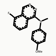 COc1ccc(N(C)c2nncc3c(F)cccc23)cc1